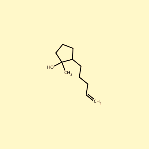 C=CCCCC1CCCC1(C)O